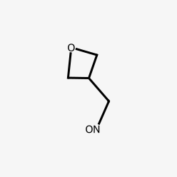 O=NCC1COC1